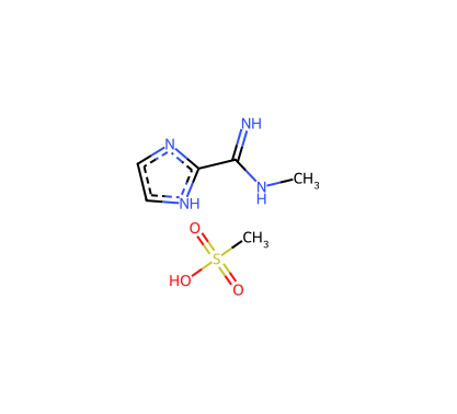 CNC(=N)c1ncc[nH]1.CS(=O)(=O)O